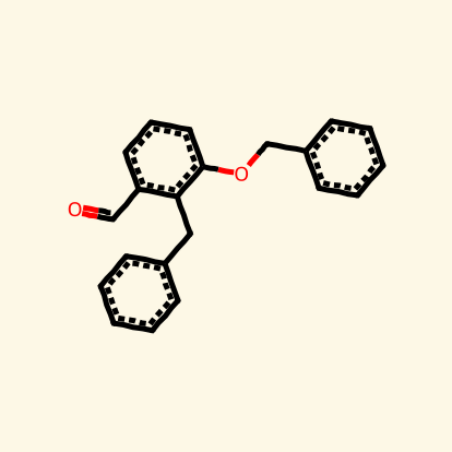 O=Cc1cccc(OCc2ccccc2)c1Cc1ccccc1